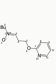 CC(C)(C)[N+]([O-])=CCCOc1ccccn1